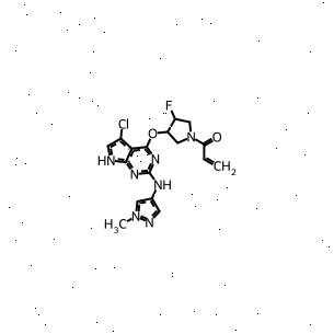 C=CC(=O)N1CC(F)C(Oc2nc(Nc3cnn(C)c3)nc3[nH]cc(Cl)c23)C1